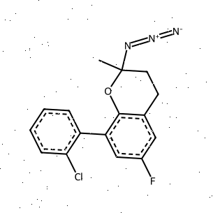 CC1(N=[N+]=[N-])CCc2cc(F)cc(-c3ccccc3Cl)c2O1